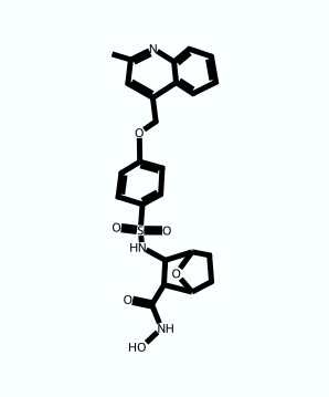 Cc1cc(COc2ccc(S(=O)(=O)NC3C4CCC(O4)C3C(=O)NO)cc2)c2ccccc2n1